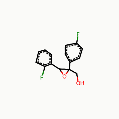 OCC1(c2ccc(F)cc2)OC1c1ccccc1F